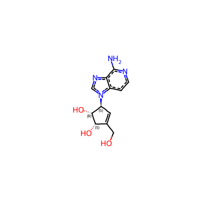 Nc1nccc2c1ncn2[C@H]1C=C(CO)[C@H](O)[C@@H]1O